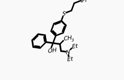 CCN(CC)CC(C)C(O)(c1ccccc1)c1ccc(SCCC(C)C)cc1